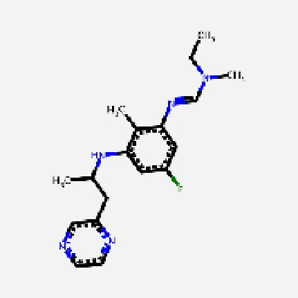 CCN(C)/C=N/c1cc(F)cc(NC(C)Cc2cnccn2)c1C